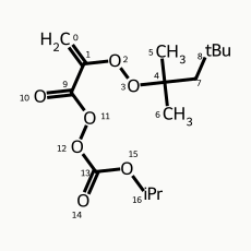 C=C(OOC(C)(C)CC(C)(C)C)C(=O)OOC(=O)OC(C)C